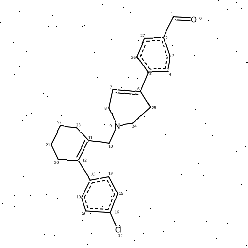 O=Cc1ccc(C2=CCN(CC3=C(c4ccc(Cl)cc4)CCCC3)CC2)cc1